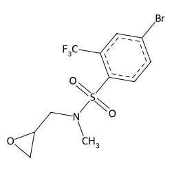 CN(CC1CO1)S(=O)(=O)c1ccc(Br)cc1C(F)(F)F